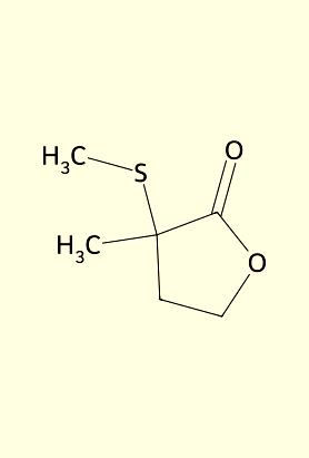 CSC1(C)CCOC1=O